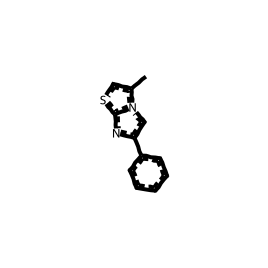 Cc1csc2nc(-c3ccccc3)cn12